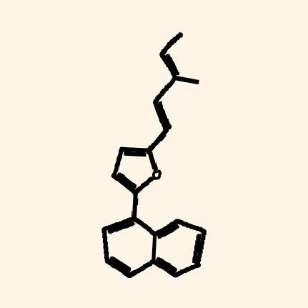 C/C=C(C)/C=C/c1ccc(-c2cccc3ccccc23)o1